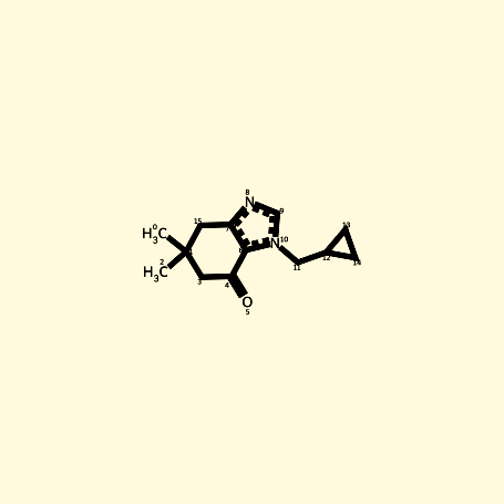 CC1(C)CC(=O)c2c(ncn2CC2CC2)C1